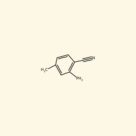 Cc1ccc(C#N)c(P)c1